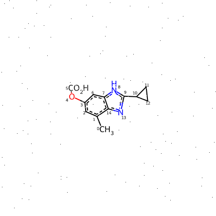 Cc1cc(OC(=O)O)cc2[nH]c(C3CC3)nc12